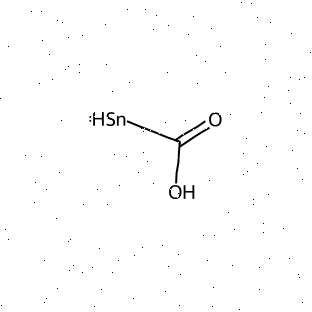 O=[C](O)[SnH]